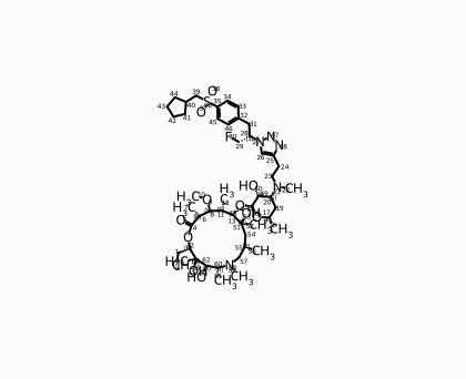 CC[C@H]1OC(=O)[C@H](C)[C@@H](OC)[C@H](C)[C@@H](O[C@@H]2O[C@H](C)C[C@H](N(C)CCc3cn([C@H](CF)Cc4ccc(S(=O)(=O)CC5CCCC5)cc4)nn3)[C@H]2O)[C@](C)(O)C[C@@H](C)CN(C)[C@H](C)[C@@H](O)[C@]1(C)O